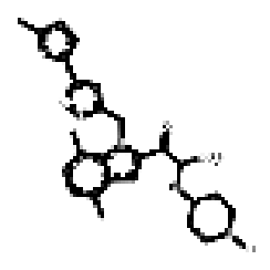 Cc1ccc(C)c2c1cc(C(=O)C(NC1CCN(C(C)C)CC1)C(=O)O)n2Cc1cc(-c2ccc(Cl)s2)on1